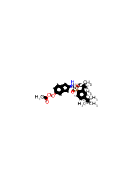 CC(=O)OOc1ccc2c(c1)CC(NS(=O)(=O)c1ccc(C(C)(C)C)cc1C(C)(C)C)C2